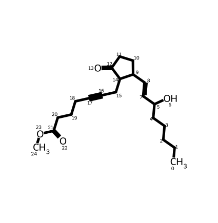 CCCCCC(O)/C=C/C1CCC(=O)C1CC#CCCCC(=O)OC